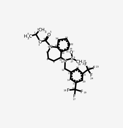 CC(C)OC(=O)N1CCCC(N(Cc2cc(C(F)(F)F)cc(C(F)(F)F)c2)[S+](C)[O-])c2ccccc21